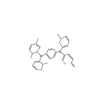 C=C/C=C\C(=C/C)N(C1=CC=CC(C)C1)c1ccc(N(C2=CC=CCC2C)C2C=C(C)C=CC2C)cc1